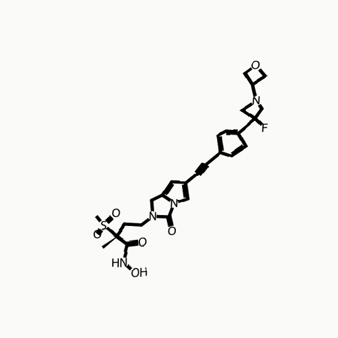 C[C@@](CCN1Cc2cc(C#Cc3ccc(C4(F)CN(C5COC5)C4)cc3)cn2C1=O)(C(=O)NO)S(C)(=O)=O